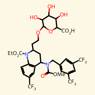 CCOC(=O)N1c2ccc(C(F)(F)F)cc2C(N(Cc2cc(C(F)(F)F)cc(C(F)(F)F)c2)C(=O)OC)CC1CCOC1OC(C(=O)O)C(O)C(O)C1O